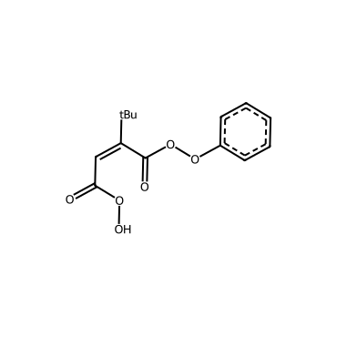 CC(C)(C)/C(=C/C(=O)OO)C(=O)OOc1ccccc1